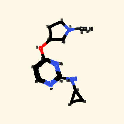 O=C(O)N1CCC(Oc2ccnc(NC3CC3)n2)C1